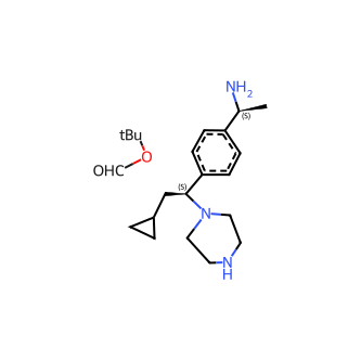 CC(C)(C)OC=O.C[C@H](N)c1ccc([C@H](CC2CC2)N2CCNCC2)cc1